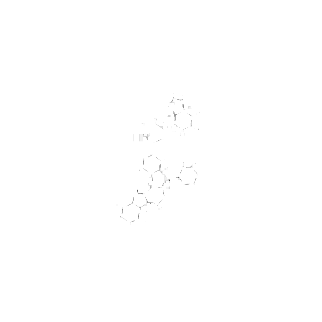 C1=C(c2ccc3c4c5oc6ccccc6c5ccc4n(-c4ccccc4)c3c2)NCC=C1c1cccc2ccsc12